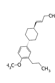 CCC=C[C@H]1CC[C@H](c2ccc(OC)c(CCC)c2)CC1